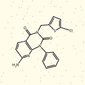 Nc1ccc2c(=O)n(Cc3ccc(Cl)s3)c(=O)n(-c3ccccc3)c2n1